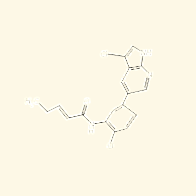 CCC=CC(=O)Nc1cc(-c2cnc3[nH]cc(Cl)c3c2)ccc1Cl